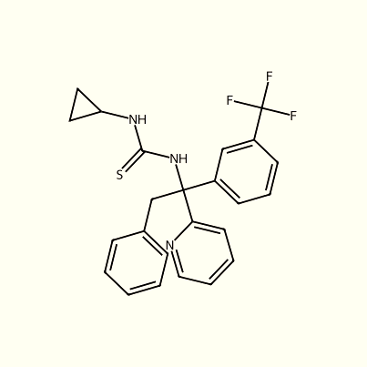 FC(F)(F)c1cccc(C(Cc2ccccc2)(NC(=S)NC2CC2)c2ccccn2)c1